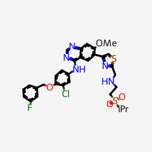 COc1cc2ncnc(Nc3ccc(OCc4cccc(F)c4)c(Cl)c3)c2cc1-c1csc(CNCCS(=O)(=O)C(C)C)n1